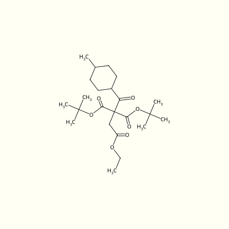 CCOC(=O)CC(C(=O)OC(C)(C)C)(C(=O)OC(C)(C)C)C(=O)C1CCC(C)CC1